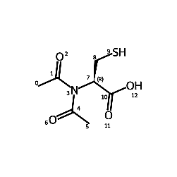 CC(=O)N(C(C)=O)[C@@H](CS)C(=O)O